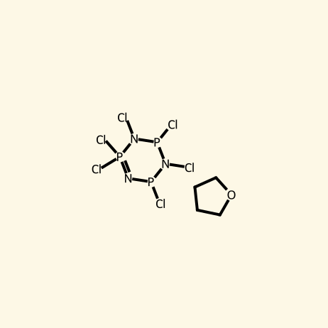 C1CCOC1.ClN1P(Cl)N=P(Cl)(Cl)N(Cl)P1Cl